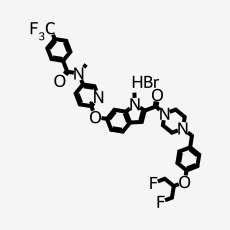 Br.CN(C(=O)c1ccc(C(F)(F)F)cc1)c1ccc(Oc2ccc3cc(C(=O)N4CCN(Cc5ccc(OC(CF)CF)cc5)CC4)n(C)c3c2)nc1